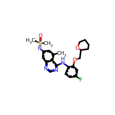 Cc1cc(N=S(C)(C)=O)cc2ncnc(Nc3ccc(F)cc3OCC3CCCCO3)c12